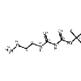 CC(C)(C)OC(=O)NC(=O)NCCON